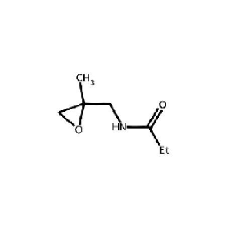 CCC(=O)NCC1(C)CO1